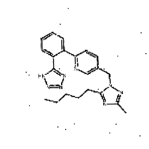 CCCCCc1nc(C)nn1Cc1ccc(-c2ccccc2-c2nnn[nH]2)nc1